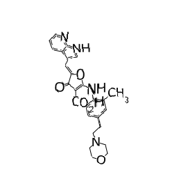 Cc1cc(CCN2CCOCC2)ccc1NC1=C(C(=O)O)C(=O)C(=Cc2c[nH]c3ncccc23)O1